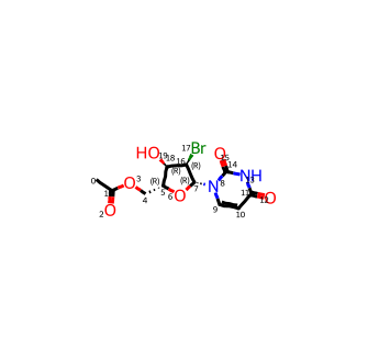 CC(=O)OC[C@H]1O[C@@H](n2ccc(=O)[nH]c2=O)[C@H](Br)[C@@H]1O